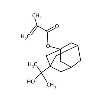 C=C(C)C(=O)OC12CC3CC(C1)CC(C(C)(C)O)(C3)C2